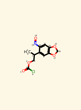 CC(COC(=O)Cl)c1cc2c(cc1N=O)OCO2